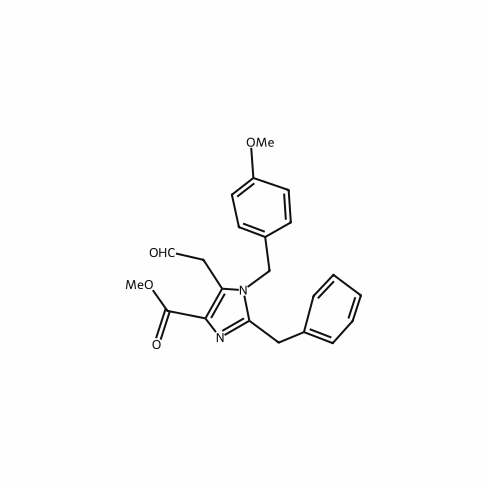 COC(=O)c1nc(Cc2ccccc2)n(Cc2ccc(OC)cc2)c1CC=O